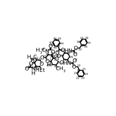 CCC1O[C@H](OC2O[C@H]3CC(C)[C@@H](O[C@@H]4C(NC(=O)OCc5ccccc5)C[C@@H](NC(=O)OCc5ccccc5)C(OC(=O)c5ccccc5)[C@H]4OC(C)=O)OC3C3OC(=O)N(C)C23)C(C)[C@H]2OC(=O)N[C@H]12